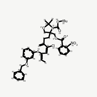 C=C(CCC1(COC(=O)c2ccccc2[N+](=O)[O-])COC(C)(C)N1C(=O)OC(C)(C)C)/C(Cl)=C\C(=C/C)Sc1cccc(OCc2ccccc2)c1